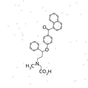 CN(CCC(Oc1ccc(C(=O)c2cccc3ccccc23)cc1)c1ccccc1)CC(=O)O